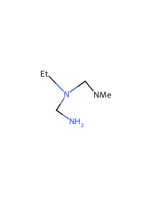 CCN(CN)CNC